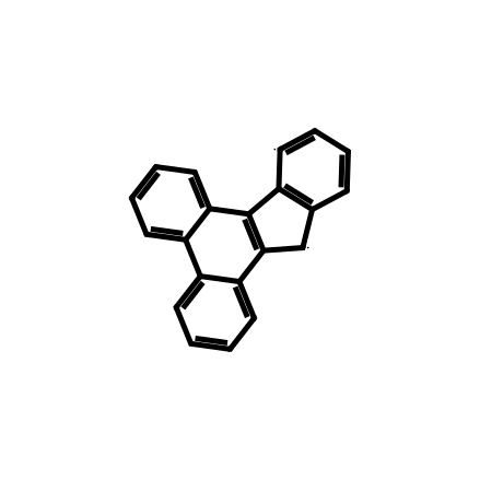 [c]1cccc2c1-c1c(c3ccccc3c3ccccc13)[CH]2